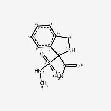 CNS(=O)(=O)C1(C(N)=O)NCc2ccccc21